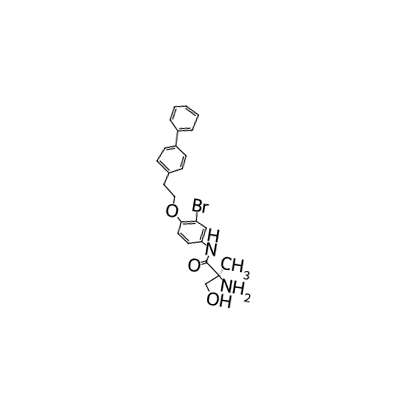 C[C@](N)(CO)C(=O)Nc1ccc(OCCc2ccc(-c3ccccc3)cc2)c(Br)c1